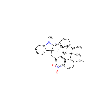 C=C(/C=C/C=C1/N(C)c2ccccc2C1(Cc1ccccc1)Cc1ccccc1)C(C)(C)c1cc([N+](=O)[O-])ccc1C